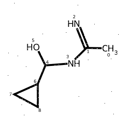 CC(=N)NC(O)C1CC1